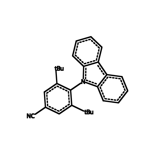 CC(C)(C)c1cc(C#N)cc(C(C)(C)C)c1-n1c2ccccc2c2ccccc21